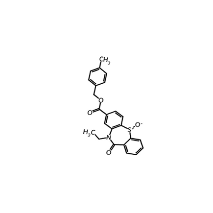 CCN1C(=O)c2ccccc2[S+]([O-])c2ccc(C(=O)OCc3ccc(C)cc3)cc21